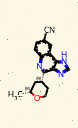 C[C@@H]1C[C@H](c2nc3ccc(C#N)cc3c3[nH]cnc23)CCO1